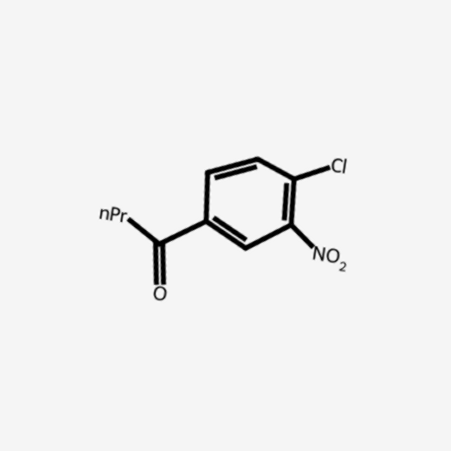 CCCC(=O)c1ccc(Cl)c([N+](=O)[O-])c1